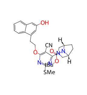 CSc1nc(OCCc2cc(O)cc3ccccc23)c(C#N)c(N2C[C@H]3CC[C@@H](C2)N3C(=O)OC(C)(C)C)n1